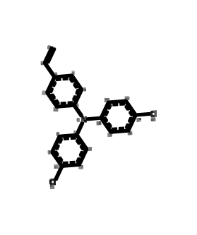 C=Cc1ccc(N(c2ccc(Cl)cc2)c2ccc(Cl)cc2)cc1